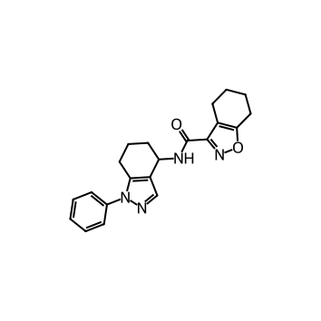 O=C(NC1CCCc2c1cnn2-c1ccccc1)c1noc2c1CCCC2